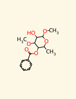 COC1OC(C)C(OC(=O)c2ccccc2)C(OC)C1O